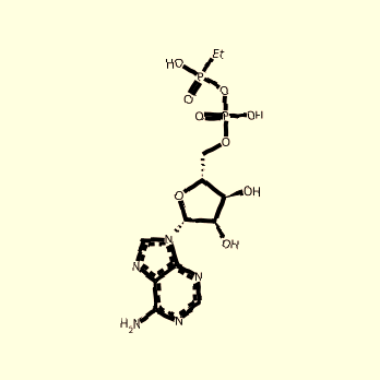 CCP(=O)(O)OP(=O)(O)OC[C@H]1O[C@@H](n2cnc3c(N)ncnc32)[C@H](O)[C@@H]1O